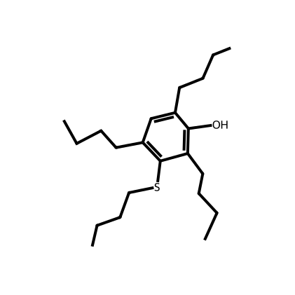 CCCCSc1c(CCCC)cc(CCCC)c(O)c1CCCC